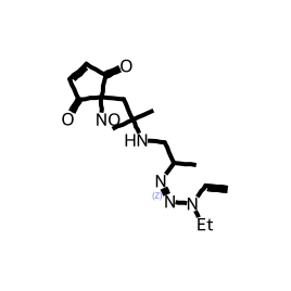 C=CN(CC)/N=N\C(C)CNC(C)(C)CC1(N=O)C(=O)C=CC1=O